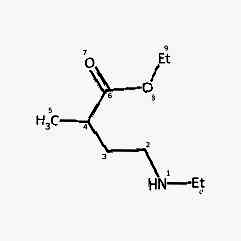 CCNCCC(C)C(=O)OCC